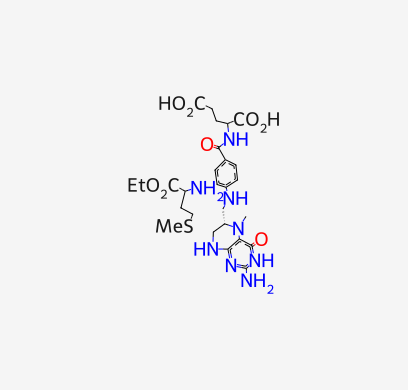 CCOC(=O)C(N)CCSC.CN1c2c(nc(N)[nH]c2=O)NC[C@@H]1CNc1ccc(C(=O)NC(CCC(=O)O)C(=O)O)cc1